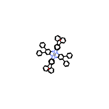 c1ccc(-c2ccc(N3c4cc(-c5ccccc5)c(-c5ccccc5)cc4N(c4ccc(-c5ccccc5)cc4)[Si]34N(c3ccc(-c5ccccc5)cc3)c3cc(-c5ccccc5)c(-c5ccccc5)cc3N4c3ccc(-c4ccccc4)cc3)cc2)cc1